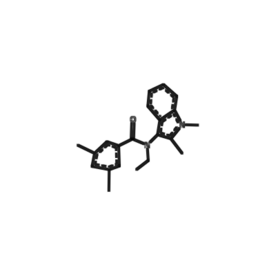 CCN(C(=O)c1cc(C)cc(C)c1)c1c(C)n(C)c2ccccc12